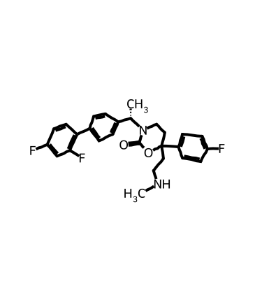 CNCCC1(c2ccc(F)cc2)CCN([C@@H](C)c2ccc(-c3ccc(F)cc3F)cc2)C(=O)O1